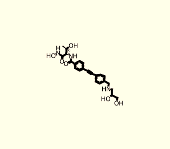 C[C@@H](O)[C@H](NC(=O)c1ccc(C#Cc2ccc(CNCC(O)CO)cc2)cc1)C(=O)NO